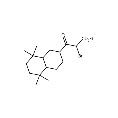 CCOC(=O)C(Br)C(=O)C1CCC2C(C1)C(C)(C)CCC2(C)C